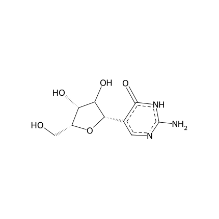 Nc1ncc([C@@H]2O[C@H](CO)[C@H](O)C2O)c(=O)[nH]1